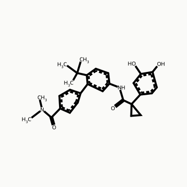 CN(C)C(=O)c1ccc(-c2cc(NC(=O)C3(c4ccc(O)c(O)c4)CC3)ccc2C(C)(C)C)cc1